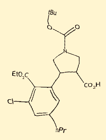 CCCc1cc(Cl)c(C(=O)OCC)c(C2CN(C(=O)OC(C)(C)C)CC2C(=O)O)c1